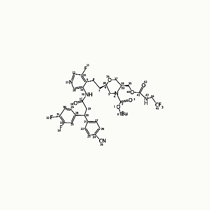 CC(C)(C)OC(=O)N1C[C@@H](CCc2c(F)cncc2NC(=O)CC(c2ccc(C#N)cc2)c2ccc(F)c(F)c2)OC[C@H]1COC(=O)NCC(F)(F)F